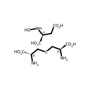 N[C@@H](CSC[C@H](N)C(=O)O)C(=O)O.O=C(O)C[C@H](NO)C(=O)O